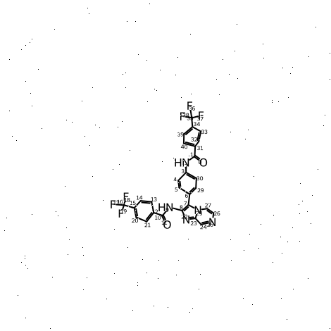 O=C(Nc1ccc(-c2c(NC(=O)c3ccc(C(F)(F)F)cc3)nc3cnccn23)cc1)c1ccc(C(F)(F)F)cc1